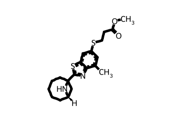 COC(=O)CCSc1cc(C)c2nc(C34CCCCC[C@@H](C3)N4)sc2c1